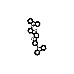 c1cc(-n2c3ccccc3c3ccccc32)c2oc3ccc4c5cc(-n6c7ccccc7c7ccccc76)ccc5oc4c3c2c1